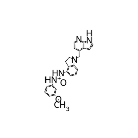 COc1cccc(NC(=O)Nc2cccc3c2CCN3Cc2ccnc3[nH]ccc23)c1